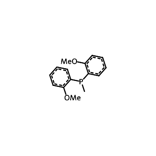 COc1ccccc1P(C)c1ccccc1OC